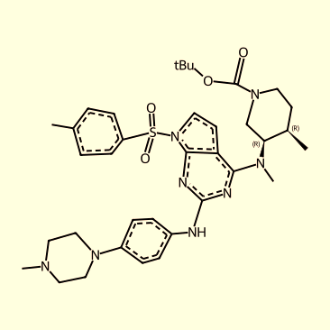 Cc1ccc(S(=O)(=O)n2ccc3c(N(C)[C@H]4CN(C(=O)OC(C)(C)C)CC[C@H]4C)nc(Nc4ccc(N5CCN(C)CC5)cc4)nc32)cc1